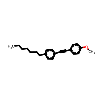 CCCCCCCc1ccc(C#Cc2ccc(OC)cc2)cc1